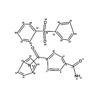 NC(=O)c1ccc(C(=O)n2c3ccc2cc3)cc1.O=S(=O)(c1ccccc1)c1ccccc1